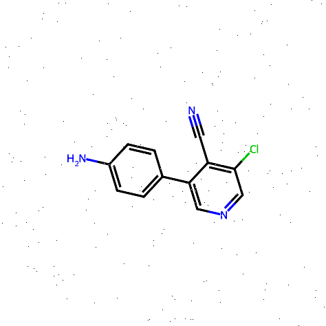 N#Cc1c(Cl)cncc1-c1ccc(N)cc1